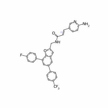 Nc1ccc(/C=C/C(=O)NCc2cc3cc(-c4ccc(C(F)(F)F)cc4)cc(-c4ccc(F)cc4)c3o2)cn1